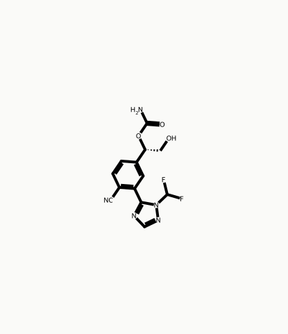 N#Cc1ccc([C@@H](CO)OC(N)=O)cc1-c1ncnn1C(F)F